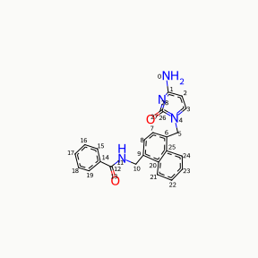 Nc1ccn(Cc2ccc(CNC(=O)c3ccccc3)c3ccccc23)c(=O)n1